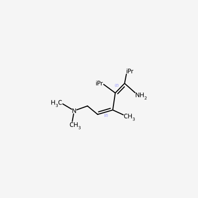 CC(=C/CN(C)C)/C(=C(\N)C(C)C)C(C)C